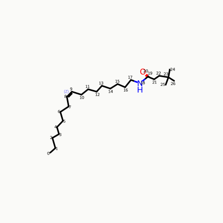 CCCCCCCC/C=C\CCCCCCCCNC(=O)CCC(C)(C)C